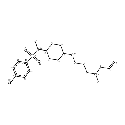 C=CCN(C)CCCOC1CCC(N(C)S(=O)(=O)c2ccc(Cl)cc2)CC1